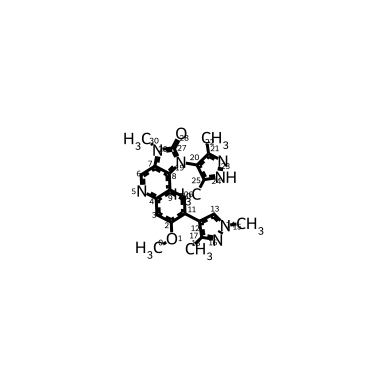 COc1cc2ncc3c(c2cc1-c1cn(C)nc1C)n(-c1c(C)n[nH]c1C)c(=O)n3C